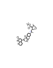 C/C(=C\[C@@H]1COC[C@H](C)N1C(=O)OC(C)(C)C)c1ccc2c(c1)CN1[C@H](C)CN(c3cc(=O)n(C)c4ncccc34)C[C@H]21